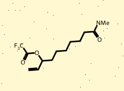 C=CC(CCCCCCC(=O)NC)OC(=O)C(F)(F)F